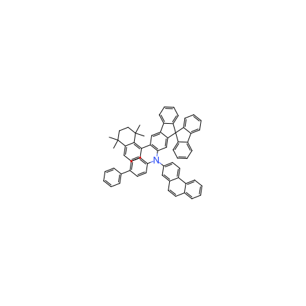 CC1(C)CCC(C)(C)c2c(-c3cc4c(cc3N(c3ccc(-c5ccccc5)cc3)c3ccc5c(ccc6ccccc65)c3)C3(c5ccccc5-c5ccccc53)c3ccccc3-4)cccc21